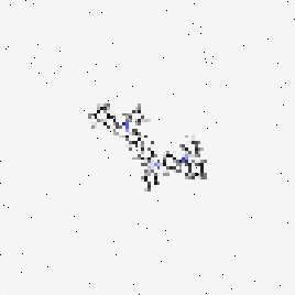 c1ccc(N(c2ccc(-c3ccc4c(c3)c3ccccc3n4-c3ccc4ccccc4c3)cc2)c2ccc(-n3c4ccccc4c4ccccc43)cc2)cc1